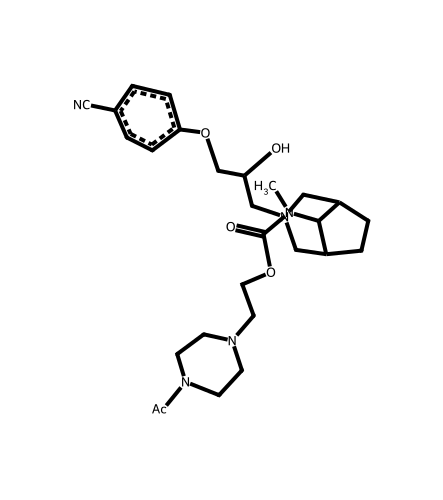 CC(=O)N1CCN(CCOC(=O)N(C)C2C3CCC2CN(CC(O)COc2ccc(C#N)cc2)C3)CC1